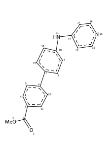 COC(=O)c1ccc(-c2ccc(Nc3ccncc3)cc2)cc1